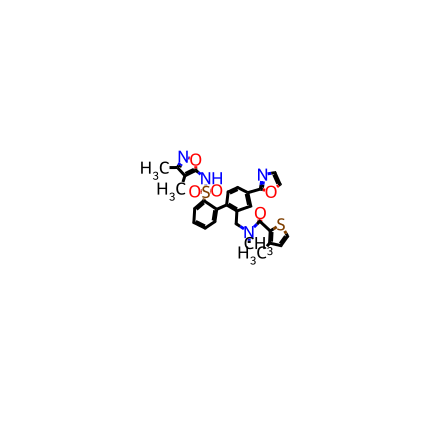 Cc1ccsc1C(=O)N(C)Cc1cc(-c2ncco2)ccc1-c1ccccc1S(=O)(=O)Nc1onc(C)c1C